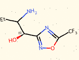 CCC(N)[C@H](O)c1noc(C(F)(F)F)n1